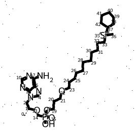 C[C@H](Cn1cnc2c(N)ncnc21)OCP(=O)(O)OCCCOCCCCCCCCCCC[Si](C)(C)C1CCCCC1